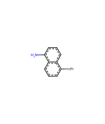 CCCc1cccc2c(N)cccc12